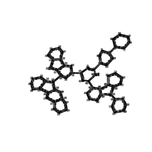 c1ccc(-c2ccc(C3=NC(c4cc(-n5c6ccccc6c6cc7ccccc7cc65)c5oc6ccccc6c5c4)=NC(c4cccc5c4c4ccccc4n5-c4ccccc4)N3)cc2)cc1